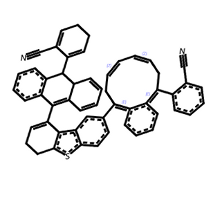 N#CC1=CCCC=C1C1c2ccccc2C(C2=CCCc3sc4ccc(/C5=c6\cccc\c6=C(/c6ccccc6C#N)C/C=C\C=C/C5)cc4c32)=C2C=CC=CC21